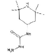 CC1(C)CC(NC(=O)NN)CC(C)(C)N1